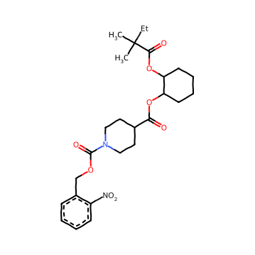 CCC(C)(C)C(=O)OC1CCCCC1OC(=O)C1CCN(C(=O)OCc2ccccc2[N+](=O)[O-])CC1